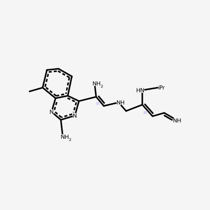 Cc1cccc2c(/C(N)=C/NC/C(=C/C=N)NC(C)C)nc(N)nc12